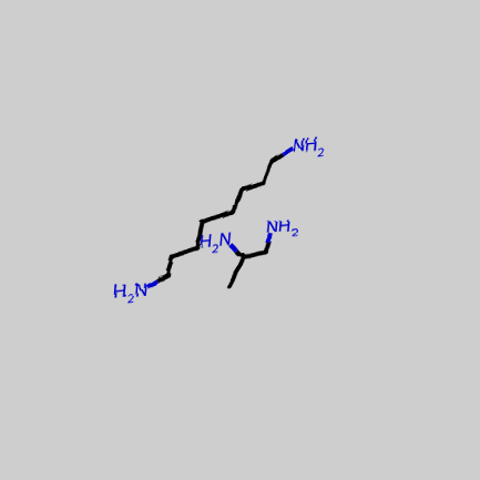 CC(N)CN.NCCCCCCCCN